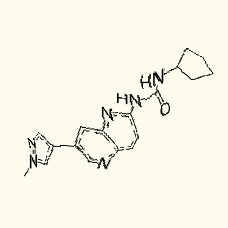 Cn1cc(-c2cnc3ccc(NC(=O)NC4CCCC4)nc3c2)cn1